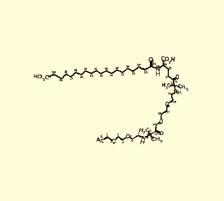 CC(=O)COCCOCCNC(C)(C)C(=O)COCCOCCNC(C)(C)C(=O)CCC(NC(=O)CCCCCCCCCCCCCCCCCCC(=O)O)C(=O)O